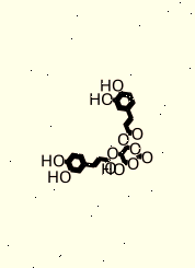 O=COC(OC(=O)/C=C/c1ccc(O)c(O)c1)C(OC(=O)/C=C/c1ccc(O)c(O)c1)C(=O)O